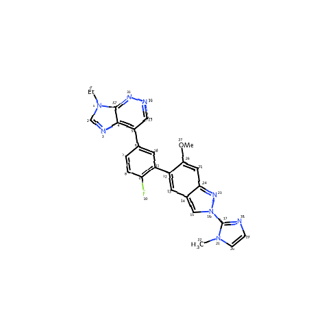 CCn1cnc2c(-c3ccc(F)c(-c4cc5cn(-c6nccn6C)nc5cc4OC)c3)cnnc21